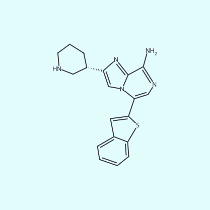 Nc1ncc(-c2cc3ccccc3s2)n2cc([C@H]3CCCNC3)nc12